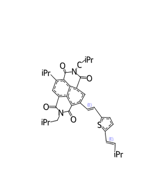 CC(C)/C=C/c1ccc(/C=C/c2cc3c4c(c(C(C)C)cc5c4c2C(=O)N(CC(C)C)C5=O)C(=O)N(CC(C)C)C3=O)s1